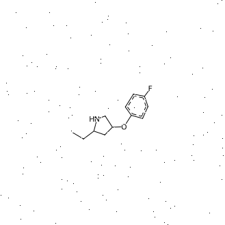 CCC1CC(Oc2ccc(F)cc2)CN1